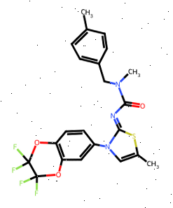 Cc1ccc(CN(C)C(=O)N=c2sc(C)cn2-c2ccc3c(c2)OC(F)(F)C(F)(F)O3)cc1